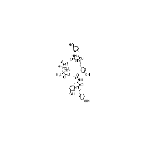 CC(C)C(C)(CC(C)(C(=O)OCCOC(=O)N[C@@H](Cc1ccc(O)cc1)C(=O)NCCc1ccc(O)cc1)C(C)C)C(=O)OCCOC(=O)N[C@@H](Cc1ccc(O)cc1)C(=O)NCCc1ccc(O)cc1